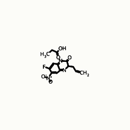 C=CCC1N=c2cc([N+](=O)[O-])c(F)cc2=NC1=O.CCC(=O)O